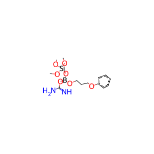 CO[Si](OC)(OC)OB(OCCCOc1ccccc1)OC(=N)N